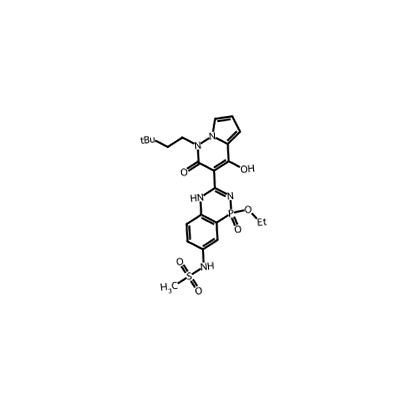 CCOP1(=O)N=C(c2c(O)c3cccn3n(CCC(C)(C)C)c2=O)Nc2ccc(NS(C)(=O)=O)cc21